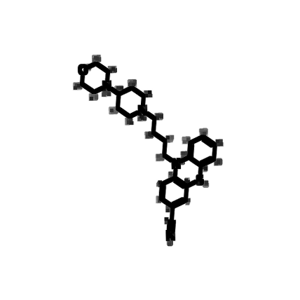 N#Cc1ccc2c(c1)Sc1ccccc1N2CCCCN1CCC(N2CCOCC2)CC1